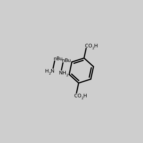 CCCCN.CCCCN.O=C(O)c1ccc(C(=O)O)cc1